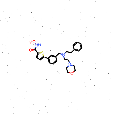 O=C(NO)c1ccc(-c2cccc(CN(CCc3ccccc3)CCN3CCOCC3)c2)s1